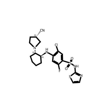 N#C[C@H]1CCN([C@H]2CCCC[C@@H]2Nc2cc(F)c(S(=O)(=O)Nc3nccs3)cc2Cl)C1